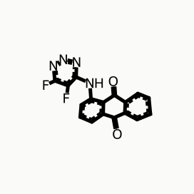 O=C1c2ccccc2C(=O)c2c(Nc3nnnc(F)c3F)cccc21